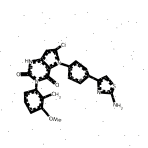 COc1cccc(-n2c(=O)[nH]c3cc(Cl)n(-c4ccc(-c5csc(N)n5)cc4)c3c2=O)c1C